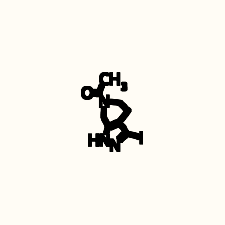 CC(=O)N1CCc2c(I)n[nH]c2C1